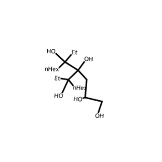 CCCCCCC(O)(CC)C(O)(CC(O)CO)C(O)(CC)CCCCCC